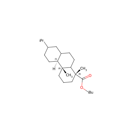 CCC(C)OC(=O)[C@]1(C)CCC[C@@]2(C)C1CCC1CC(C(C)C)CC[C@@H]12